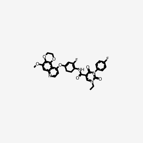 CCn1cc(C(=O)NC2=C(F)C=C(Oc3ccnc4cc(OC)c5c(c34)OCCO5)CC2)c(=O)n(-c2ccc(F)cc2)c1=O